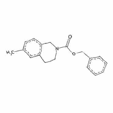 Cc1ccc2c(c1)CCN(C(=O)OCc1ccccc1)C2